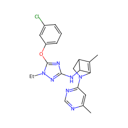 CCn1nc(NC2C3=C(C)C2CN3c2cc(C)ncn2)nc1Oc1cccc(Cl)c1